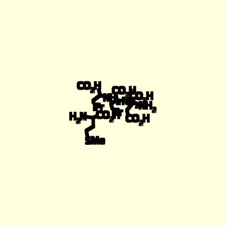 CC(C)CC(N)C(=O)O.CC(C)CC(N)C(=O)O.CSCCC(N)C(=O)O.NC(CC(=O)O)C(=O)O